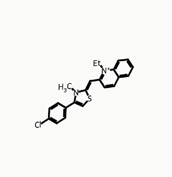 CC[n+]1c(/C=C2\SC=C(c3ccc(Cl)cc3)N2C)ccc2ccccc21